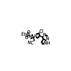 CCS(=O)(=O)N1CC(CC#N)(n2cc(Cl)c(-c3ncnc4[nH]ccc34)c2)C1